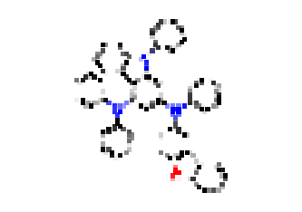 C1=CC2Oc3ccc(N(c4ccccc4)c4cc(N(c5ccccc5)c5ccccc5)c5c6ccccc6n(-c6ccccc6)c5c4)cc3C2C=C1